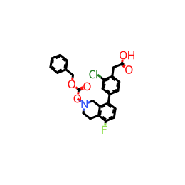 O=C(O)Cc1ccc(-c2ccc(F)c3c2CN(OC(=O)OCc2ccccc2)CC3)cc1Cl